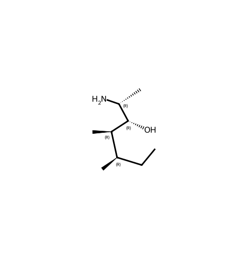 CC[C@@H](C)[C@@H](C)[C@@H](O)[C@@H](C)N